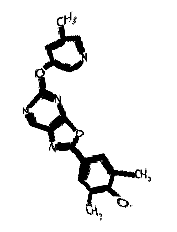 Cc1cncc(Oc2ncc3nc(-c4cc(C)c([O])c(C)c4)oc3n2)c1